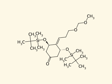 COCOCCC=C1[C@H](O[Si](C)(C)C(C)(C)C)CC(=O)C[C@H]1O[Si](C)(C)C(C)(C)C